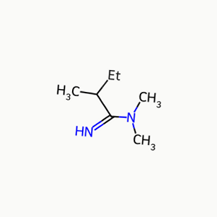 CCC(C)C(=N)N(C)C